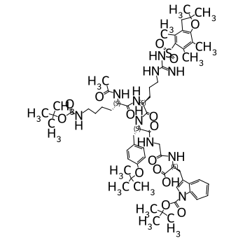 CC(=O)N[C@@H](CCCCNC(=O)OC(C)(C)C)C(=O)N[C@@H](CCCNC(=N)NS(=O)(=O)c1c(C)c(C)c2c(c1C)CC(C)(C)O2)C(=O)N[C@@H](Cc1ccc(OC(C)(C)C)cc1)C(=O)NCC(=O)N[C@@H](Cc1cn(C(=O)OC(C)(C)C)c2ccccc12)C(=O)O